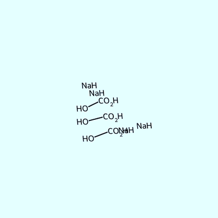 O=C(O)O.O=C(O)O.O=C(O)O.[NaH].[NaH].[NaH].[NaH]